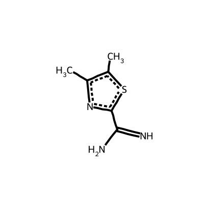 Cc1nc(C(=N)N)sc1C